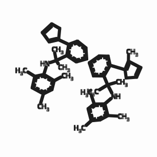 CC1=C(c2ccccc2C(C)(C)Nc2c(C)cc(C)cc2C)CC=C1.Cc1cc(C)c(NC(C)(C)c2ccccc2C2=CC=CC2)c(C)c1